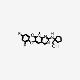 Cn1c(=O)c(Oc2ccc(F)cc2F)cc2cnc(NC3(CO)CCCC3)nc21